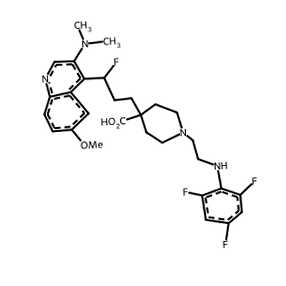 COc1ccc2ncc(N(C)C)c(C(F)CCC3(C(=O)O)CCN(CCNc4c(F)cc(F)cc4F)CC3)c2c1